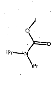 CC(C)N(C(=O)OI)C(C)C